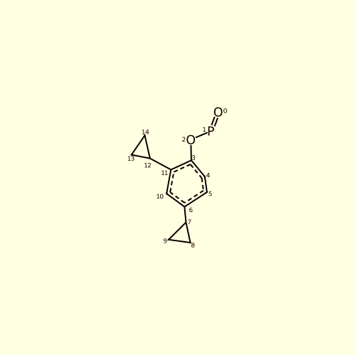 O=POc1ccc(C2CC2)cc1C1CC1